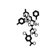 CC(=O)c1ccc(Cl)c(N2C[C@@H](C(=O)N[C@@H](Cc3ccccc3)[C@H](O)CN(CC(C)C)S(=O)(=O)c3ccc(C)cc3)OC2=O)c1